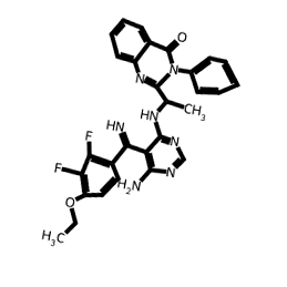 CCOc1ccc(C(=N)c2c(N)ncnc2NC(C)c2nc3ccccc3c(=O)n2-c2ccccc2)c(F)c1F